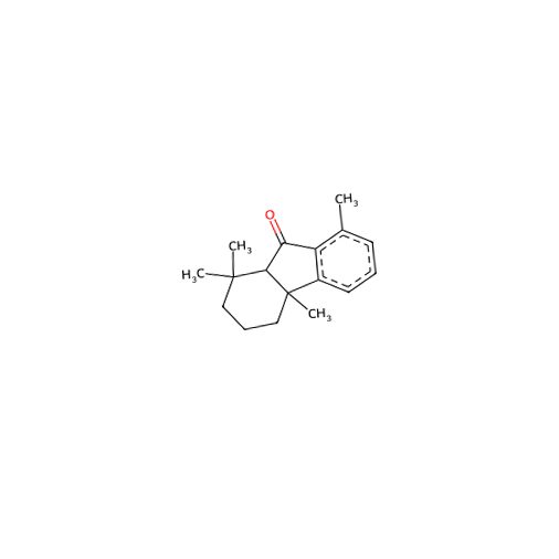 Cc1cccc2c1C(=O)C1C(C)(C)CCCC21C